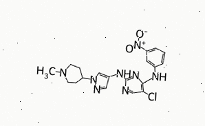 CN1CCC(n2cc(Nc3ncc(Cl)c(Nc4cccc([N+](=O)[O-])c4)n3)cn2)CC1